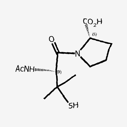 CC(=O)N[C@H](C(=O)N1CCC[C@H]1C(=O)O)C(C)(C)S